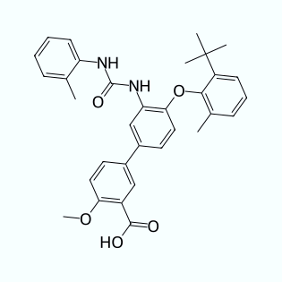 COc1ccc(-c2ccc(Oc3c(C)cccc3C(C)(C)C)c(NC(=O)Nc3ccccc3C)c2)cc1C(=O)O